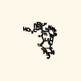 CCCC[C@H](C(=O)O)[C@H](Cc1ccc2nsnc2c1)c1nnn[nH]1